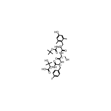 Cc1cc(O)cc(C)c1C[C@H](NC(=O)OC(C)(C)C)C(=O)N[C@H](CS)C(=O)N[C@@H](Cc1ccc(F)cc1)C(=O)N[C@@H](C(=O)O)C(C)(C)S